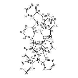 c1ccc(-n2c3ccccc3c3cc(-c4nc5ccccc5n4-c4c(-n5c6ccccc6c6ccccc65)cccc4-n4c5ccccc5c5ccccc54)ccc32)cc1